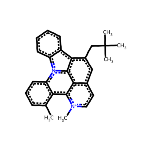 Cc1cccc2c1c1c3c(cc[n+]1C)cc(CC(C)(C)C)c1c4ccccc4n2c13